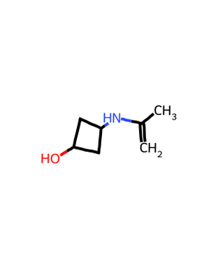 C=C(C)NC1CC(O)C1